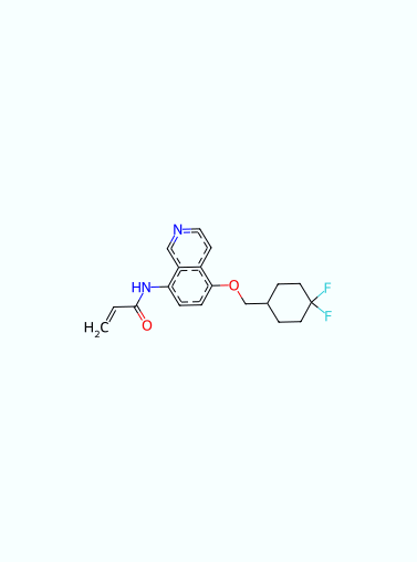 C=CC(=O)Nc1ccc(OCC2CCC(F)(F)CC2)c2ccncc12